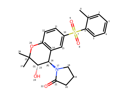 Cc1ccccc1S(=O)(=O)c1ccc2c(c1)[C@@H](N1CCCC1=O)[C@H](O)C(C)(C)O2